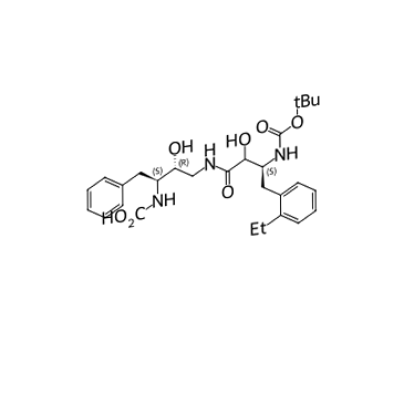 CCc1ccccc1C[C@H](NC(=O)OC(C)(C)C)C(O)C(=O)NC[C@@H](O)[C@H](Cc1ccccc1)NC(=O)O